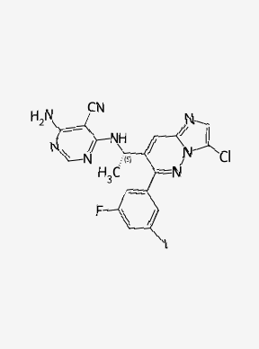 C[C@H](Nc1ncnc(N)c1C#N)c1cc2ncc(Cl)n2nc1-c1cc(F)cc(I)c1